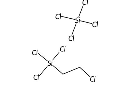 ClCC[Si](Cl)(Cl)Cl.Cl[Si](Cl)(Cl)Cl